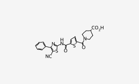 N#Cc1sc(NC(=O)c2ccc(C(=O)N3CCC(C(=O)O)CC3)s2)nc1-c1ccccc1